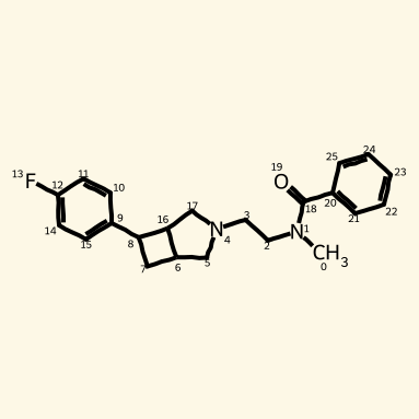 CN(CCN1CC2CC(c3ccc(F)cc3)C2C1)C(=O)c1ccccc1